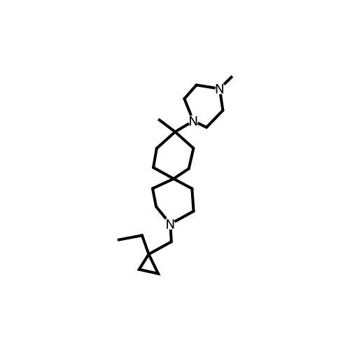 CCC1(CN2CCC3(CC2)CCC(C)(N2CCN(C)CC2)CC3)CC1